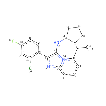 CCc1cccc2nc(-c3ccc(F)cc3Cl)c(NC3CCCC3)n12